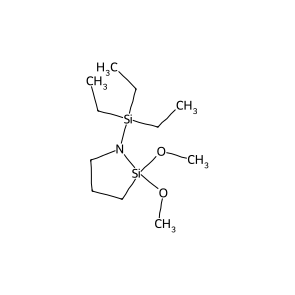 CC[Si](CC)(CC)N1CCC[Si]1(OC)OC